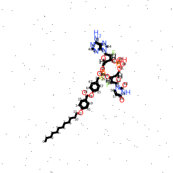 CCCCCCCCCCCCOc1ccc(C(=O)Oc2ccc(CS[P@]3(=O)OC[C@H]4O[C@@H](n5cnc6c(N)ncnc65)[C@H](F)[C@@H]4OP(=O)(O)OC[C@H]4O[C@@H](n5ccc(=O)[nH]c5=O)[C@H](F)[C@@H]4O3)cc2)cc1